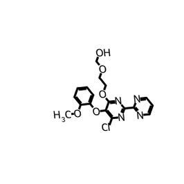 COc1ccccc1Oc1c(Cl)nc(-c2ncccn2)nc1OCCOCO